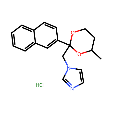 CC1CCOC(Cn2ccnc2)(c2ccc3ccccc3c2)O1.Cl